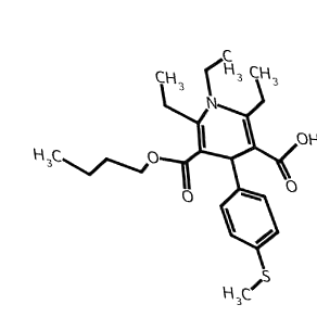 CCCCOC(=O)C1=C(CC)N(CC)C(CC)=C(C(=O)O)C1c1ccc(SC)cc1